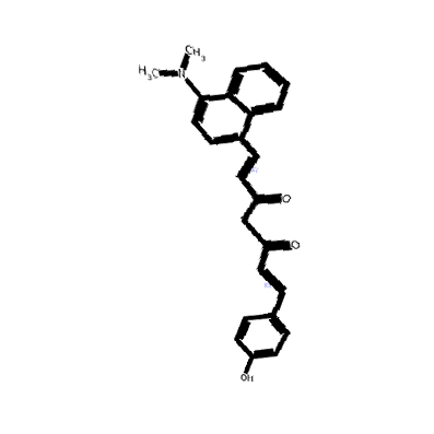 CN(C)c1ccc(/C=C/C(=O)CC(=O)/C=C/c2ccc(O)cc2)c2ccccc12